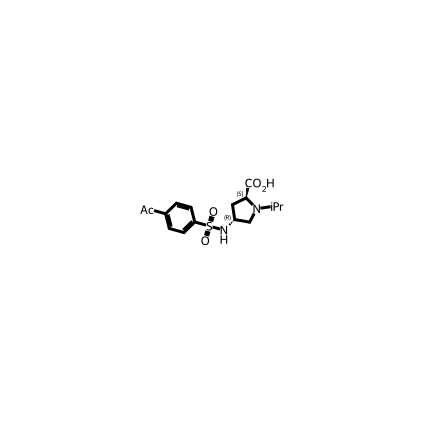 CC(=O)c1ccc(S(=O)(=O)N[C@@H]2C[C@@H](C(=O)O)N(C(C)C)C2)cc1